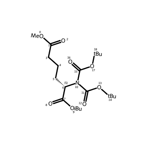 COC(=O)CCC[C@@H](C(=O)OCC(C)C)N(C(=O)OC(C)(C)C)C(=O)OC(C)(C)C